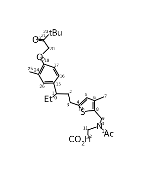 CCC(CCc1cc(C)c(CN(CC(=O)O)C(C)=O)s1)c1ccc(OCC(=O)C(C)(C)C)c(C)c1